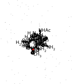 CC(=O)NCCCC[C@H](NC(=O)[C@](C)(CCCCN)NC(=O)[C@H](Cc1ccc2ccccc2c1)NC(=O)[C@H](Cc1ccc(OCCN)cc1)NC(=O)[C@H]1NC(=O)[C@H](CCC(N)=O)NC(=O)[C@H](Cc2c[nH]c3c(C)cccc23)NC(=O)[C@H]([C@@H](C)O)NC(=O)[C@H](CCCNC(N)=O)NC(=O)[C@@H](NC(C)=O)C(C)(C)SSC1(C)C)C(=O)N[C@@H](CC(N)=O)C(=O)NCCC(N)=O